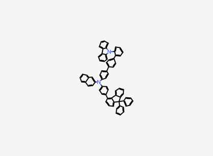 c1ccc(C2(c3ccccc3)c3ccccc3-c3c(-c4ccc(N(c5ccc(-c6ccc(-c7ccccc7-n7c8ccccc8c8ccccc87)cc6)cc5)c5ccc6ccccc6c5)cc4)cccc32)cc1